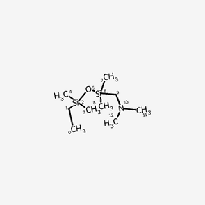 CC[Si](C)(C)O[Si](C)(C)CN(C)C